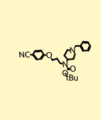 CC(C)(C)OC(=O)N(CCCOc1ccc(C#N)cc1)C1CCN(Cc2ccccc2)CC1